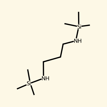 C[Si](C)(C)NCCCN[Si](C)(C)C